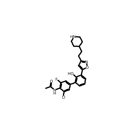 CC(=O)Nc1c(F)cc(-c2cccc(-c3cc(CCC4CCNCC4)no3)c2O)cc1Cl